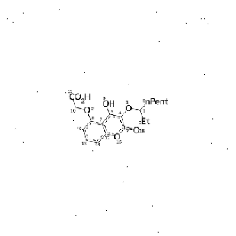 CCCCCC(CC)Oc1c(O)c2c(OCC(=O)O)cccc2oc1=O